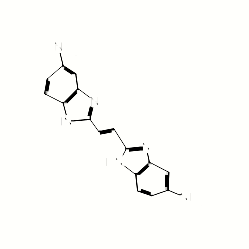 Nc1ccc2[nH]c(/C=C/c3nc4cc(N)ccc4[nH]3)nc2c1